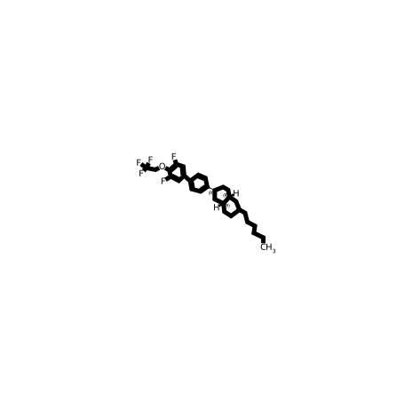 CCCCCCC1CC[C@@H]2C[C@H](c3ccc(-c4cc(F)c(OCC(F)(F)F)c(F)c4)cc3)CC[C@@H]2C1